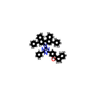 c1ccc(-c2nc(-c3ccc4c(c3)oc3ccc5ccccc5c34)nc(-n3c4cc(-c5ccccc5)c5ccccc5c4c4c5ccccc5c(-c5ccccc5)cc43)n2)cc1